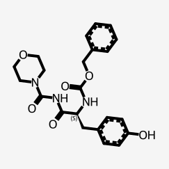 O=C(N[C@@H](Cc1ccc(O)cc1)C(=O)NC(=O)N1CCOCC1)OCc1ccccc1